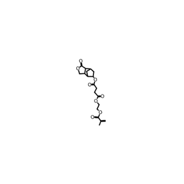 C=C(C)C(=O)OCCOC(=O)CCC(=O)OC1CC2CC1C1COC(=O)C21